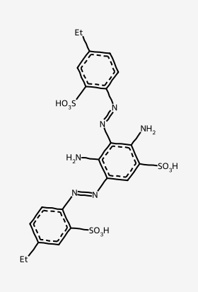 CCc1ccc(/N=N/c2cc(S(=O)(=O)O)c(N)c(/N=N/c3ccc(CC)cc3S(=O)(=O)O)c2N)c(S(=O)(=O)O)c1